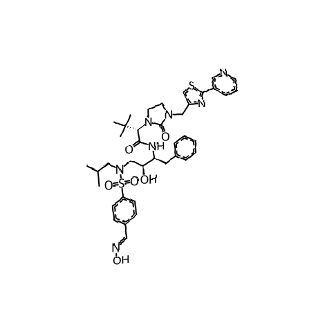 CC(C)CN(C[C@H](O)[C@H](Cc1ccccc1)NC(=O)[C@@H](N1CCN(Cc2csc(-c3cccnc3)n2)C1=O)C(C)(C)C)S(=O)(=O)c1ccc(C=NO)cc1